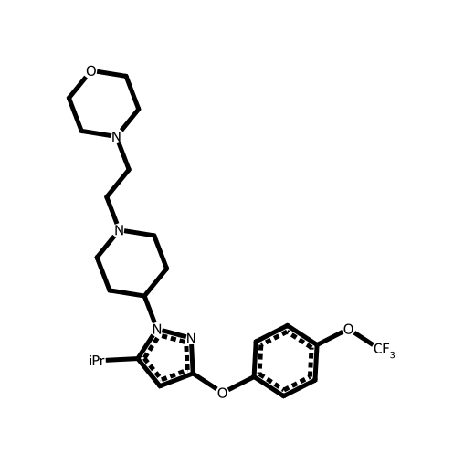 CC(C)c1cc(Oc2ccc(OC(F)(F)F)cc2)nn1C1CCN(CCN2CCOCC2)CC1